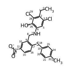 CCc1c(Cl)cc(NCc2cc([N+](=O)[O-])ccc2Sc2ccc(C)cc2)c(O)c1Cl